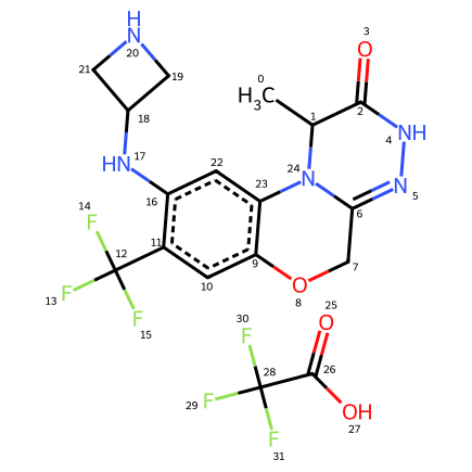 CC1C(=O)NN=C2COc3cc(C(F)(F)F)c(NC4CNC4)cc3N21.O=C(O)C(F)(F)F